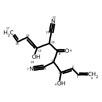 C=CC=C(O)C(C#N)C(=O)C(C#N)C(O)=CC=C